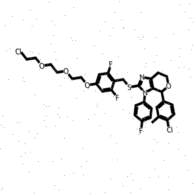 Cc1cc(C2OCCc3nc(SCc4c(F)cc(OCCOCCOCCCl)cc4F)n(-c4ccc(F)cc4)c32)ccc1Cl